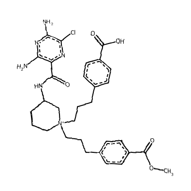 COC(=O)c1ccc(CCC[N+]2(CCCc3ccc(C(=O)O)cc3)CCCC(NC(=O)c3nc(Cl)c(N)nc3N)C2)cc1